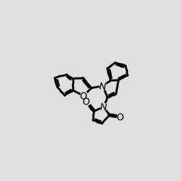 O=C1C=CC(=O)N1c1cc2ccccc2n1-c1cc2ccccc2o1